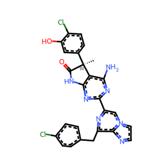 C[C@@]1(c2ccc(Cl)c(O)c2)C(=O)Nc2nc(-c3cn4ccnc4c(Cc4ccc(Cl)cc4)n3)nc(N)c21